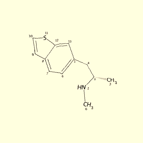 CN[C@@H](C)Cc1ccc2ccsc2c1